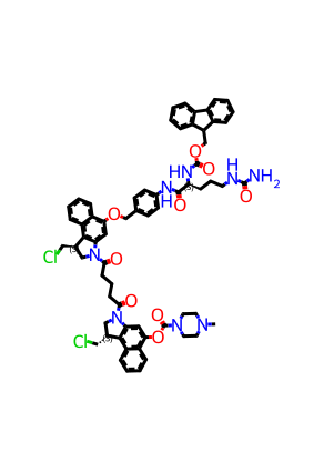 CN1CCN(C(=O)Oc2cc3c(c4ccccc24)[C@H](CCl)CN3C(=O)CCCC(=O)N2C[C@@H](CCl)c3c2cc(OCc2ccc(NC(=O)[C@H](CCCNC(N)=O)NC(=O)OCC4c5ccccc5-c5ccccc54)cc2)c2ccccc32)CC1